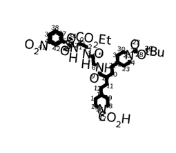 CCOC(=O)[C@H](CNC(=O)CNC(=O)C(CCC1CCN(C(=O)O)CC1)CCC1CCN(C(=O)OC(C)(C)C)CC1)NS(=O)(=O)c1cccc([N+](=O)[O-])c1